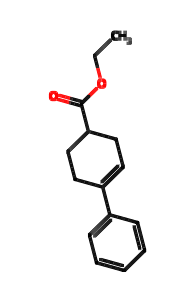 CCOC(=O)C1CC=C(c2ccccc2)CC1